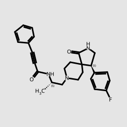 C[C@@H](CN1CCC2(CC1)C(=O)NC[C@H]2c1ccc(F)cc1)NC(=O)C#Cc1ccccc1